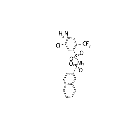 Nc1cc(C(F)(F)F)c(S(=O)(=O)NS(=O)(=O)c2ccc3ccccc3c2)cc1Cl